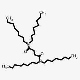 CCCCCCCCN(CCCCCCCC)C(=O)CCC(=O)N(CCCCCCCC)CCCCCCCC